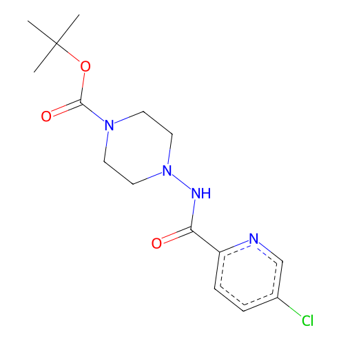 CC(C)(C)OC(=O)N1CCN(NC(=O)c2ccc(Cl)cn2)CC1